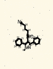 Cn1nc(-c2ccccc2O)c(C#CCCCC#N)c1-c1ccccc1